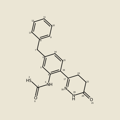 O=C(S)Nc1cc(Cc2ccccc2)ccc1C1=NNC(=O)CC1